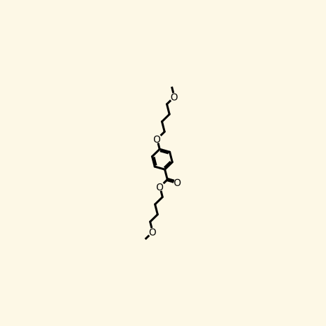 COCCCCOC(=O)c1ccc(OCCCCOC)cc1